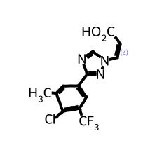 Cc1cc(-c2ncn(/C=C\C(=O)O)n2)cc(C(F)(F)F)c1Cl